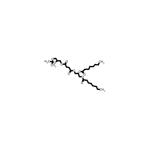 CCCCCCCC(=O)OCC(COC(=O)CCC(=O)OCC1COC(C)(C)O1)OC(=O)CCCCCCC